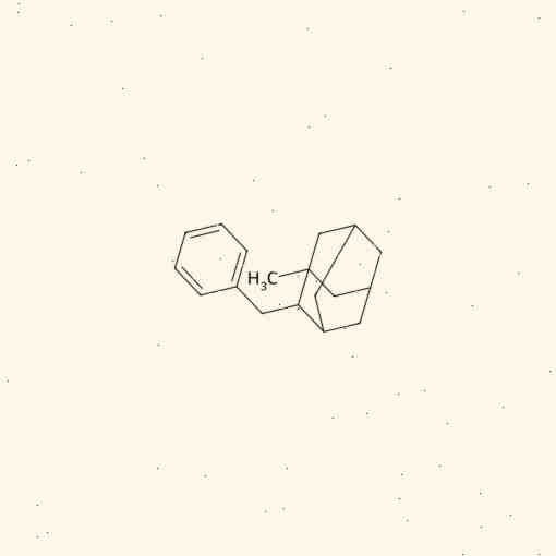 CC12CC3CC(CC(C3)[C]1Cc1ccccc1)C2